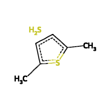 Cc1ccc(C)s1.S